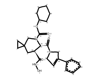 O=C(NO)[C@H]1CC2(CC2)CN(C(=O)OC2CCCCC2)[C@@H]1C(=O)N1CC=C(c2ccccc2)C1